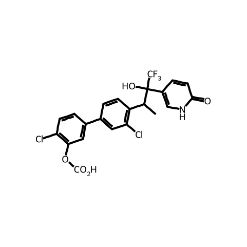 CC(c1ccc(-c2ccc(Cl)c(OC(=O)O)c2)cc1Cl)C(O)(c1ccc(=O)[nH]c1)C(F)(F)F